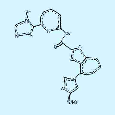 CSc1cn(-c2cccc3oc(C(=O)Nc4cccc(-c5nncn5C(C)C)n4)cc23)cn1